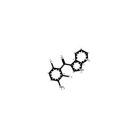 Nc1ccc(F)c(C(=O)c2c[nH]c3ncccc23)c1F